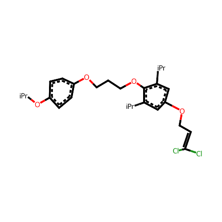 CC(C)Oc1ccc(OCCCOc2c(C(C)C)cc(OCC=C(Cl)Cl)cc2C(C)C)cc1